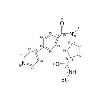 CCNC(=O)[C@H]1CC[C@@H](N(C)C(=O)c2ccc(-c3ccncc3)cc2)C1